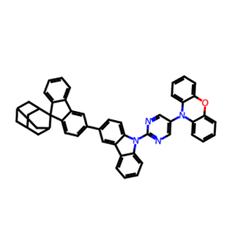 c1ccc2c(c1)Oc1ccccc1N2c1cnc(-n2c3ccccc3c3cc(-c4ccc5c(c4)-c4ccccc4C54C5CC6CC(C5)CC4C6)ccc32)nc1